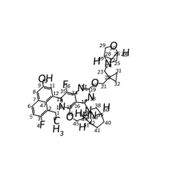 CCc1c(F)ccc2cc(O)cc(-c3nc4c5c(nc(OCC6(CN7C[C@H]8C[C@@H]7CO8)CC6)nc5c3F)N3C[C@H]5CC[C@H](N5)[C@@H]3CO4)c12